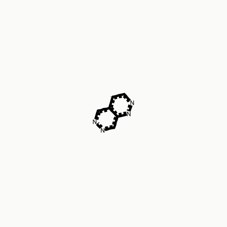 [c]1cnnc2cnncc12